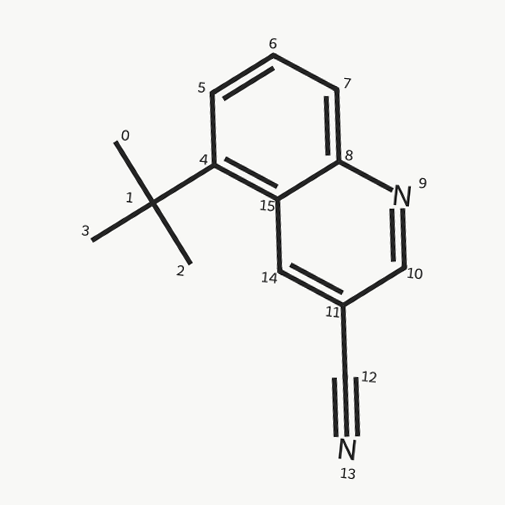 CC(C)(C)c1cccc2ncc(C#N)cc12